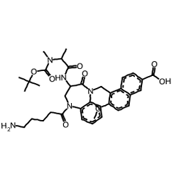 COc1ccc2cc(C(=O)O)ccc2c1CN1C(=O)C(NC(=O)C(C)N(C)C(=O)OC(C)(C)C)CN(C(=O)CCCCN)c2ccccc21